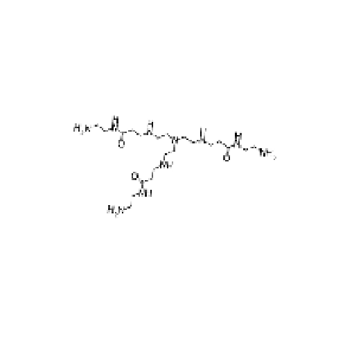 NCCNC(=O)CCNCCN(CCNCCC(=O)NCCN)CCNCCC(=O)NCCN